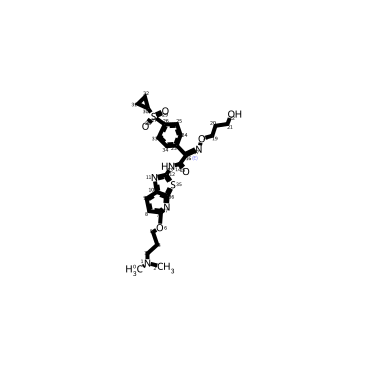 CN(C)CCCOc1ccc2nc(NC(=O)/C(=N/OCCCO)c3ccc(S(=O)(=O)C4CC4)cc3)sc2n1